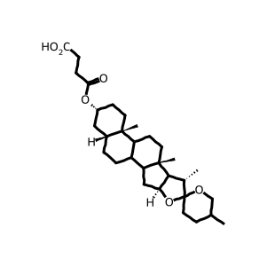 CC1CCC2(OC1)O[C@H]1CC3C4CC[C@@H]5C[C@H](OC(=O)CCC(=O)O)CC[C@]5(C)C4CC[C@]3(C)C1[C@@H]2C